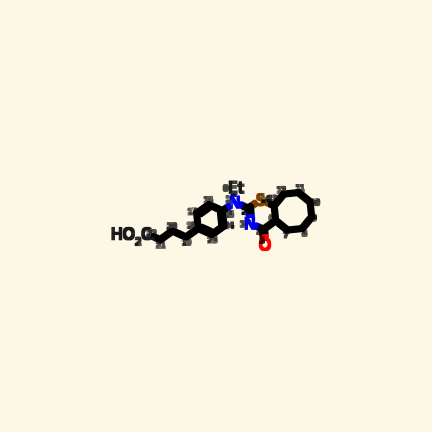 CCN(C1=NC(=O)C2CCCCCCC2S1)c1ccc(CCCC(=O)O)cc1